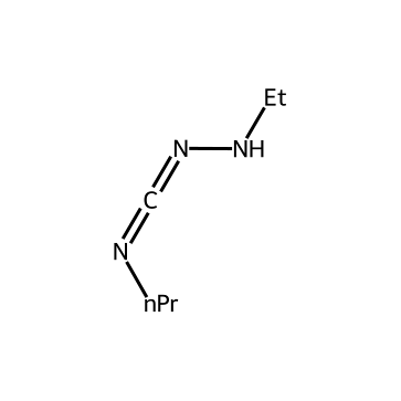 CCCN=C=NNCC